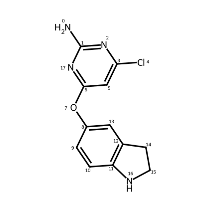 Nc1nc(Cl)cc(Oc2ccc3c(c2)CCN3)n1